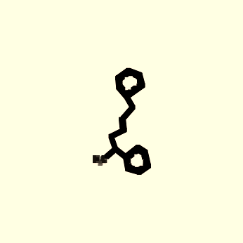 CC(CC=CCc1ccccc1)c1ccccc1